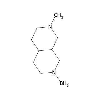 BN1CCC2CCN(C)CC2C1